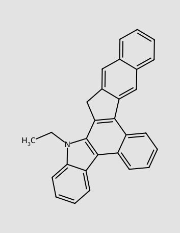 CCn1c2ccccc2c2c3ccccc3c3c(c21)Cc1cc2ccccc2cc1-3